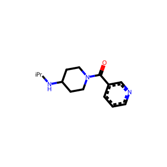 CC(C)NC1CCN(C(=O)c2cccnc2)CC1